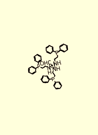 O=[CH][Ru]([NH]CCP(c1ccccc1)c1ccccc1)([NH]CCP(c1ccccc1)c1ccccc1)[NH]CCP(c1ccccc1)c1ccccc1